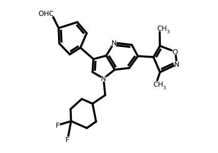 Cc1noc(C)c1-c1cnc2c(-c3ccc(C=O)cc3)cn(CC3CCC(F)(F)CC3)c2c1